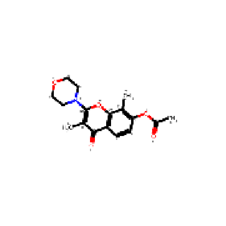 CC(=O)Oc1ccc2c(=O)c(C)c(N3CCOCC3)oc2c1C